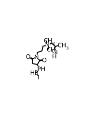 CC(O)C[N+](C)(C)CCCN1C(=O)CC(PBI)C1=O